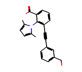 Cc1ccc(C)n1-c1c(C#Cc2cccc(CO)c2)cccc1C(=O)O